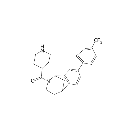 O=C(C1CCNCC1)N1CCC2CC1c1cc(-c3ccc(C(F)(F)F)cc3)ccc12